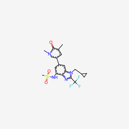 Cc1cc(-c2cc(NS(C)(=O)=O)c3nc(C(F)(F)F)n(CC4CC4)c3c2)cn(C)c1=O